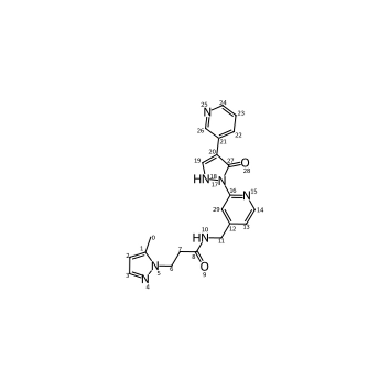 Cc1ccnn1CCC(=O)NCc1ccnc(-n2[nH]cc(-c3cccnc3)c2=O)c1